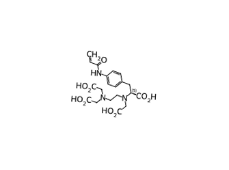 C=CC(=O)Nc1ccc(C[C@@H](C(=O)O)N(CCN(CC(=O)O)CC(=O)O)CC(=O)O)cc1